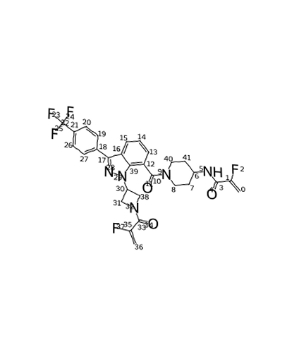 C=C(F)C(=O)NC1CCN(C(=O)c2cccc3c(-c4ccc(C(F)(F)F)cc4)nn(C4CN(C(=O)C(=C)F)C4)c23)CC1